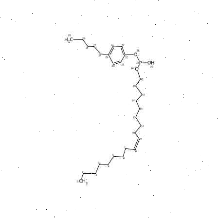 CCCCCCCC/C=C\CCCCCCCCOP(O)Oc1ccc(CCCCC)cc1